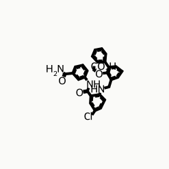 NC(=O)c1cccc(NC(=O)c2cc(Cl)ccc2NCc2cccc(-c3ccccc3)c2OCC(=O)O)c1